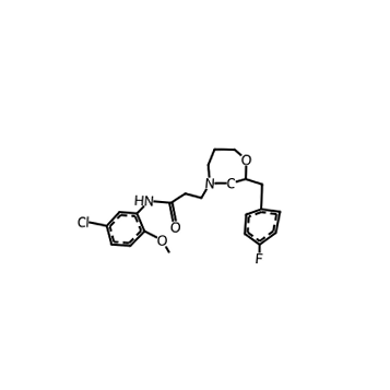 COc1ccc(Cl)cc1NC(=O)CCN1CCCOC(Cc2ccc(F)cc2)C1